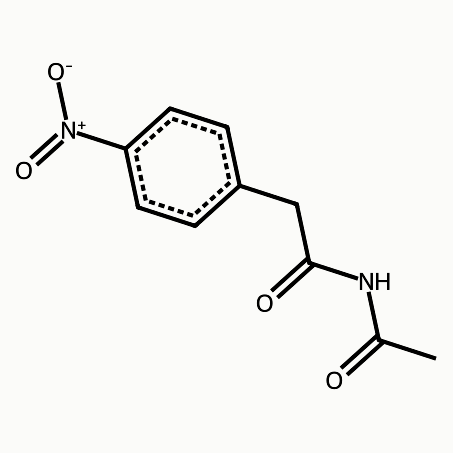 CC(=O)NC(=O)Cc1ccc([N+](=O)[O-])cc1